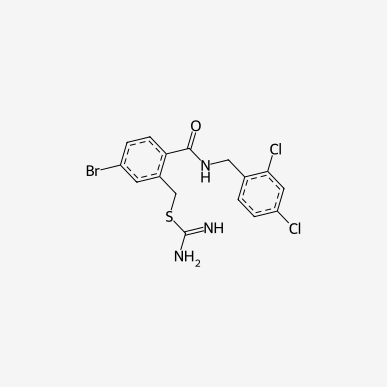 N=C(N)SCc1cc(Br)ccc1C(=O)NCc1ccc(Cl)cc1Cl